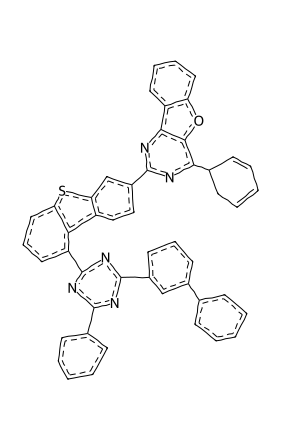 C1=CCC(c2nc(-c3ccc4c(c3)sc3cccc(-c5nc(-c6ccccc6)nc(-c6cccc(-c7ccccc7)c6)n5)c34)nc3c2oc2ccccc23)C=C1